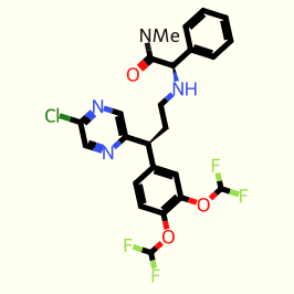 CNC(=O)[C@H](NCC[C@@H](c1ccc(OC(F)F)c(OC(F)F)c1)c1cnc(Cl)cn1)c1ccccc1